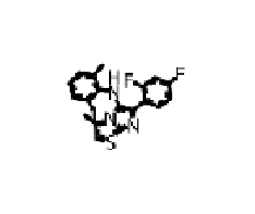 Cc1cccc(I)c1Nc1c(-c2ccc(F)cc2F)nc2scc(C)n12